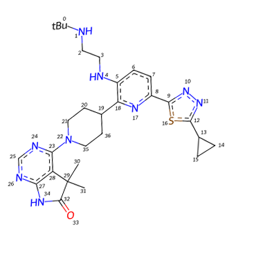 CC(C)(C)NCCNc1ccc(-c2nnc(C3CC3)s2)nc1C1CCN(c2ncnc3c2C(C)(C)C(=O)N3)CC1